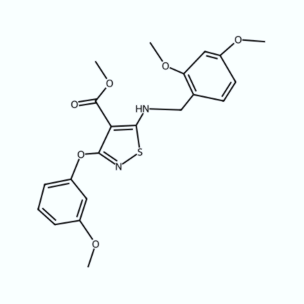 COC(=O)c1c(Oc2cccc(OC)c2)nsc1NCc1ccc(OC)cc1OC